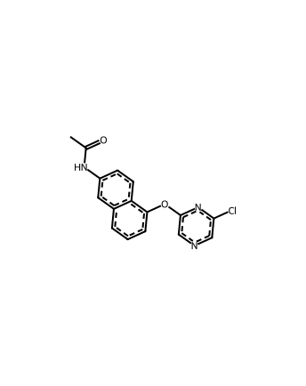 CC(=O)Nc1ccc2c(Oc3cncc(Cl)n3)cccc2c1